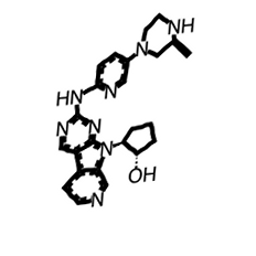 C=C1CN(c2ccc(Nc3ncc4c5ccncc5n([C@H]5CCC[C@@H]5O)c4n3)nc2)CCN1